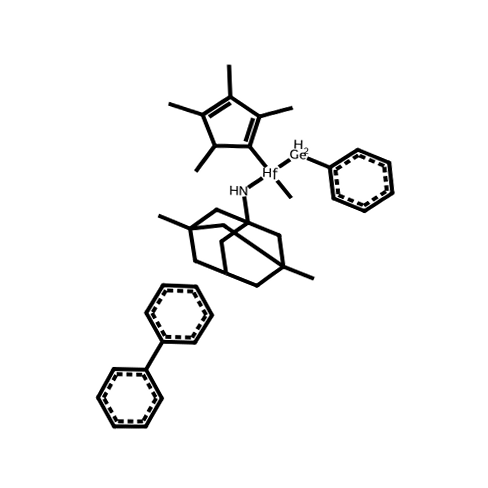 CC1=C(C)C(C)[C]([Hf]([CH3])([NH]C23CC4CC(C)(CC(C)(C4)C2)C3)[GeH2][c]2ccccc2)=C1C.c1ccc(-c2ccccc2)cc1